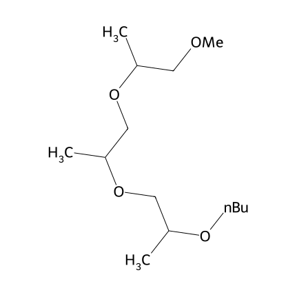 CCCCOC(C)COC(C)COC(C)COC